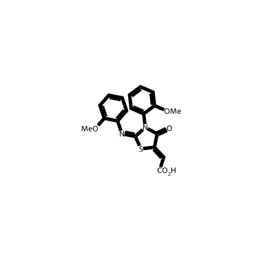 COc1ccccc1/N=C1/S/C(=C\C(=O)O)C(=O)N1c1ccccc1OC